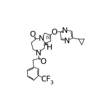 O=C(Cc1cccc(C(F)(F)F)c1)N1CCC(=O)N2C[C@@H](Oc3cnc(C4CC4)cn3)C[C@@H]2C1